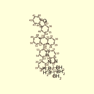 BC(B)(B)C(B)(B)c1nc2ccccc2n1-c1ccccc1-c1ccc(-c2c3ccccc3c(-c3ccc4oc5ccccc5c4c3)c3ccccc23)cc1